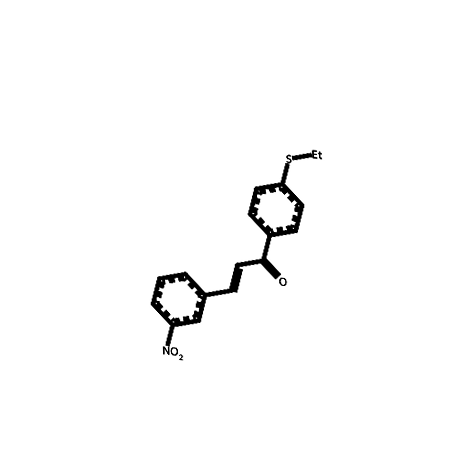 CCSc1ccc(C(=O)C=Cc2cccc([N+](=O)[O-])c2)cc1